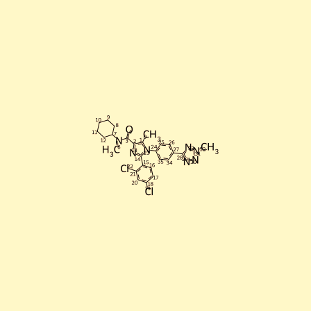 Cc1c(C(=O)N(C)C2CCCCC2)nc(-c2ccc(Cl)cc2Cl)n1-c1ccc(-c2nnn(C)n2)cc1